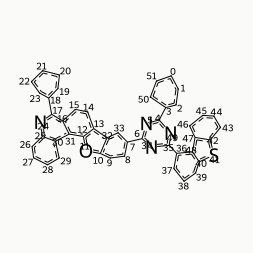 c1ccc(-c2nc(-c3ccc4oc5c(ccc6c(-c7ccccc7)nc7ccccc7c65)c4c3)nc(-c3cccc4sc5ccccc5c34)n2)cc1